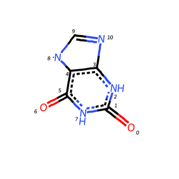 O=c1[nH]c2c(c(=O)[nH]1)[N]C=N2